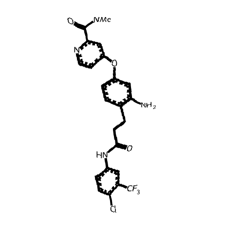 CNC(=O)c1cc(Oc2ccc(CCC(=O)Nc3ccc(Cl)c(C(F)(F)F)c3)c(N)c2)ccn1